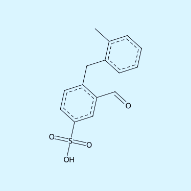 Cc1ccccc1Cc1ccc(S(=O)(=O)O)cc1C=O